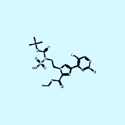 CCOC(=O)c1nc(-c2nc(Cl)ncc2Cl)cn1CCN(C(=O)OC(C)(C)C)S(=O)(=O)O